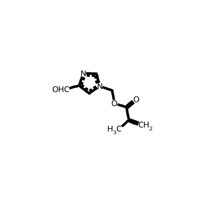 C=C(C)C(=O)OCn1cnc(C=O)c1